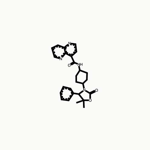 CC1(C)OC(=O)N(C2CCC(NC(=O)c3ccnc4cccnc34)CC2)C1c1ccccc1